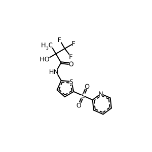 CC(O)(C(=O)Nc1ccc(S(=O)(=O)c2ccccn2)s1)C(F)(F)F